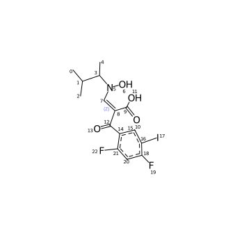 CC(C)C(C)N(O)/C=C(\C(=O)O)C(=O)c1cc(I)c(F)cc1F